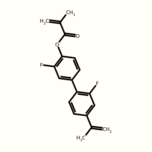 C=C(C)C(=O)Oc1ccc(-c2ccc(C(=C)C)cc2F)cc1F